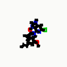 CCCc1ccc(CN(C(=O)C2CC2)c2nc(Cl)cc3c2ncn3C)c(OC)c1